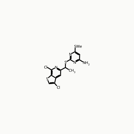 CSc1cc(N)nc(SC(C)c2cc3c(Cl)csc3c(Cl)n2)n1